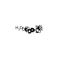 CCOC(=O)CN1CCc2cc(N3CCOc4ncnc5c4C3=N5)ccc2C1=O